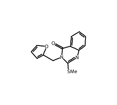 CSc1nc2ccccc2c(=O)n1Cc1ccco1